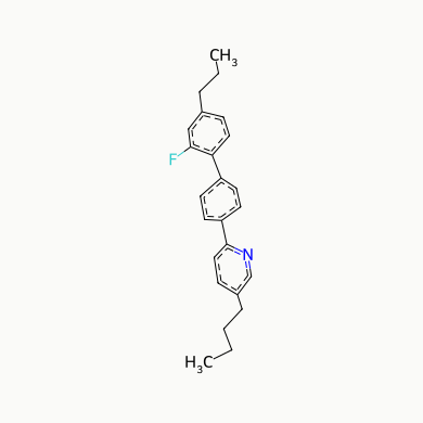 CCCCc1ccc(-c2ccc(-c3ccc(CCC)cc3F)cc2)nc1